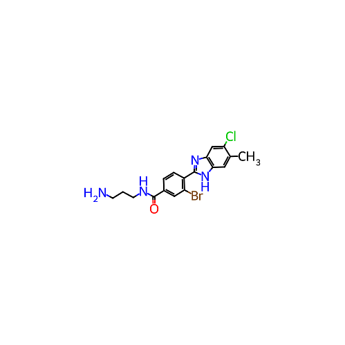 Cc1cc2[nH]c(-c3ccc(C(=O)NCCCN)cc3Br)nc2cc1Cl